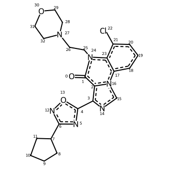 O=c1c2c(-c3nc(C4CCCC4)no3)ncn2c2cccc(Cl)c2n1CCN1CCOCC1